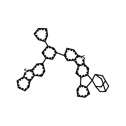 c1ccc(-c2cc(-c3ccc4c(c3)sc3ccccc34)cc(-c3ccc4sc5cc6c(cc5c4c3)-c3ccccc3C63C4CC5CC(C4)CC3C5)c2)cc1